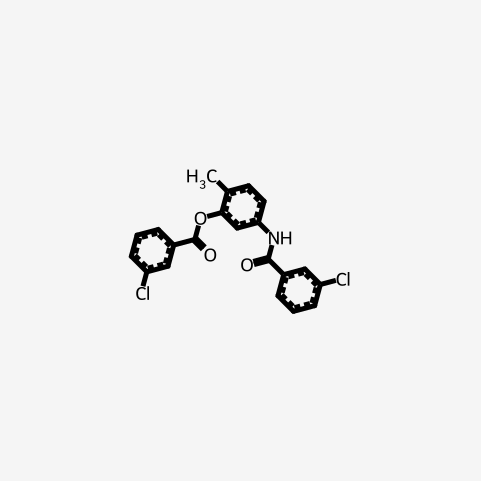 Cc1ccc(NC(=O)c2cccc(Cl)c2)cc1OC(=O)c1cccc(Cl)c1